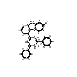 Clc1ccc2c(c1)OC1C=CC=C(C3=NC(c4ccccc4)NC(c4ccccc4)=N3)C21